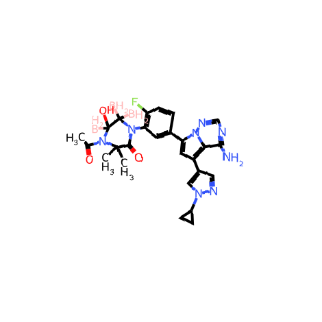 BC1(B)N(c2cc(-c3cc(-c4cnn(C5CC5)c4)c4c(N)ncnn34)ccc2F)C(=O)C(C)(C)N(C(C)=O)C1(B)O